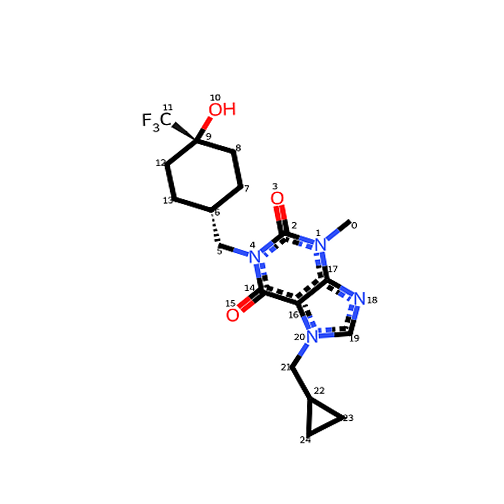 Cn1c(=O)n(C[C@H]2CC[C@](O)(C(F)(F)F)CC2)c(=O)c2c1ncn2CC1CC1